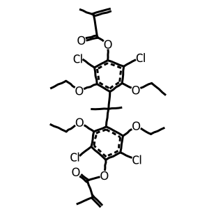 C=C(C)C(=O)Oc1c(Cl)c(OCC)c(C(C)(C)c2c(OCC)c(Cl)c(OC(=O)C(=C)C)c(Cl)c2OCC)c(OCC)c1Cl